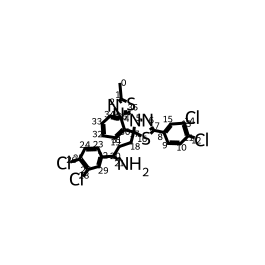 Cc1nnc(N2N=C(c3ccc(Cl)c(Cl)c3)SC2(CCC(N)c2ccc(Cl)c(Cl)c2)c2ccccc2)s1